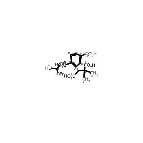 CC(C)(CC(=O)O)C(=O)O.CCCC(O)O.O=C(O)c1ccc(C(=O)O)cc1